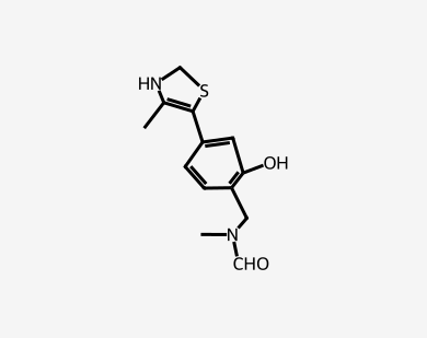 CC1=C(c2ccc(CN(C)C=O)c(O)c2)SCN1